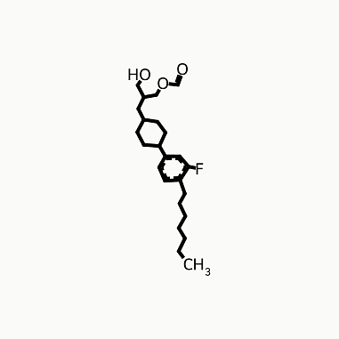 CCCCCCCc1ccc(C2CCC(CC(CO)COC=O)CC2)cc1F